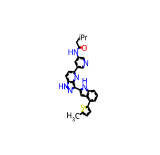 Cc1ccc(-c2cccc3[nH]c(-c4n[nH]c5ccc(-c6cncc(NC(=O)CC(C)C)c6)nc45)cc23)s1